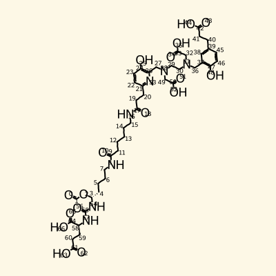 O=CO[C@H](CCCCNC(=O)CCCCCNC(=O)CCc1ccc(O)c(CN(CCN(CC(=O)O)Cc2cc(CCC(=O)O)ccc2O)CC(=O)O)n1)NC(=O)N[C@@H](CCC(=O)O)C(=O)O